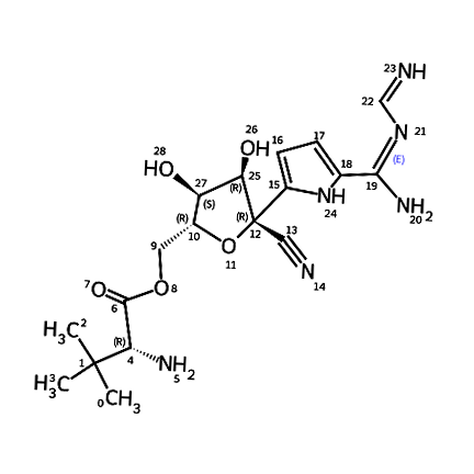 CC(C)(C)[C@@H](N)C(=O)OC[C@H]1O[C@@](C#N)(c2ccc(/C(N)=N\C=N)[nH]2)[C@H](O)[C@@H]1O